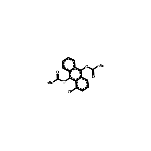 CCCCC(=O)Oc1c2ccccc2c(OC(=O)CCCC)c2c(Cl)cccc12